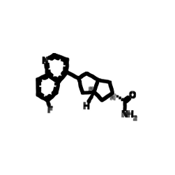 NC(=O)[C@H]1CC2CC(c3ccnc4ccc(F)cc34)C[C@H]2C1